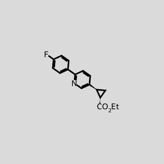 CCOC(=O)[C@H]1C[C@@H]1c1ccc(-c2ccc(F)cc2)nc1